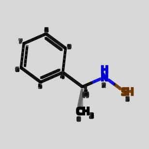 C[C@@H](NS)c1ccccc1